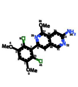 COc1cc(OC)c(Cl)c(-c2cc3cnc(N)cc3c(OC)n2)c1Cl